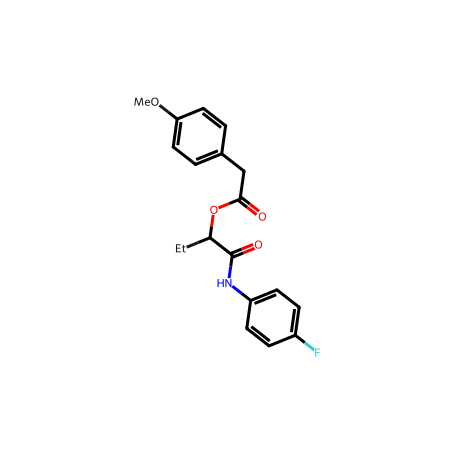 CCC(OC(=O)Cc1ccc(OC)cc1)C(=O)Nc1ccc(F)cc1